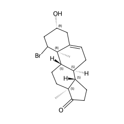 C[C@]12CC[C@H]3[C@@H](CC=C4C[C@@H](O)CC(Br)[C@@]43C)[C@@H]1CCC2=O